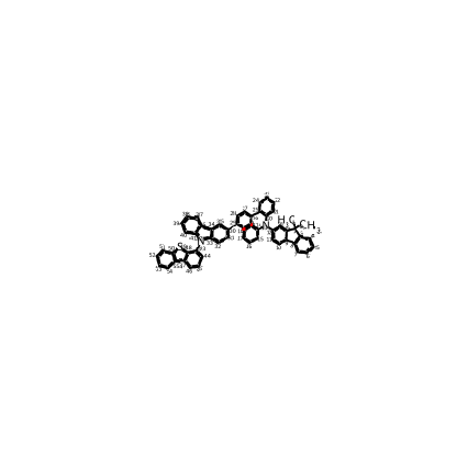 CC1(C)c2ccccc2-c2ccc(N(c3ccccc3)c3ccccc3-c3ccc(-c4ccc5c(c4)c4ccccc4n5-c4cccc5c4sc4ccccc45)cc3)cc21